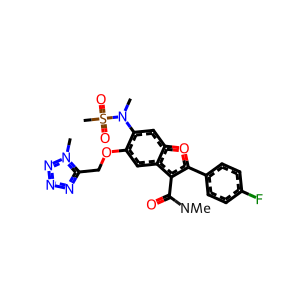 CNC(=O)c1c(-c2ccc(F)cc2)oc2cc(N(C)S(C)(=O)=O)c(OCc3nnnn3C)cc12